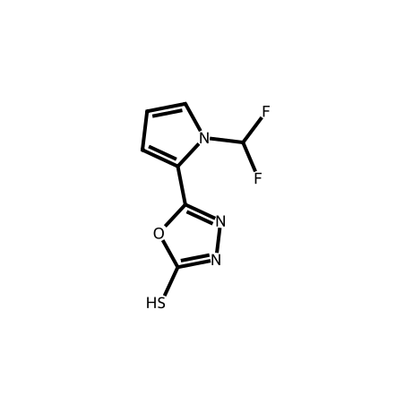 FC(F)n1cccc1-c1nnc(S)o1